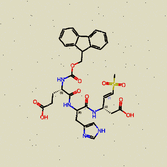 CS(=O)(=O)/C=C/[C@H](CC(=O)O)NC(=O)[C@@H](Cc1c[nH]cn1)NC(=O)[C@H](CCC(=O)O)NC(=O)OCC1c2ccccc2-c2ccccc21